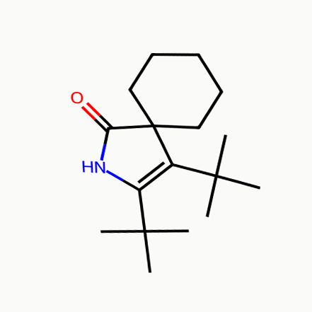 CC(C)(C)C1=C(C(C)(C)C)C2(CCCCC2)C(=O)N1